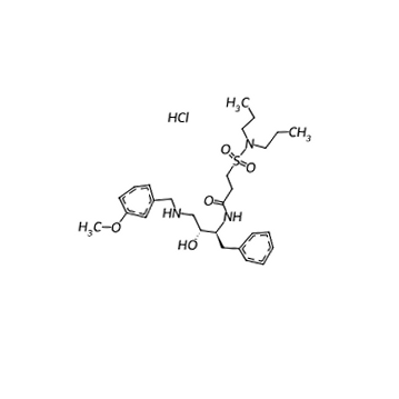 CCCN(CCC)S(=O)(=O)CCC(=O)N[C@@H](Cc1ccccc1)[C@H](O)CNCc1cccc(OC)c1.Cl